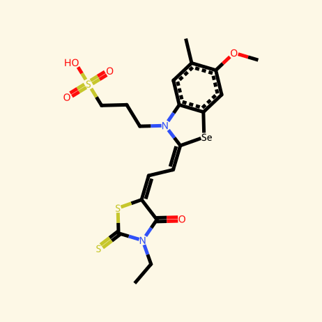 CCN1C(=O)C(=CC=C2[Se]c3cc(OC)c(C)cc3N2CCCS(=O)(=O)O)SC1=S